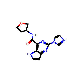 O=C(NC1CCOC1)c1nc(-n2ccnc2)nc2cc[nH]c12